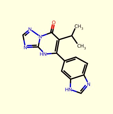 CC(C)c1c(-c2ccc3nc[nH]c3c2)[nH]c2ncnn2c1=O